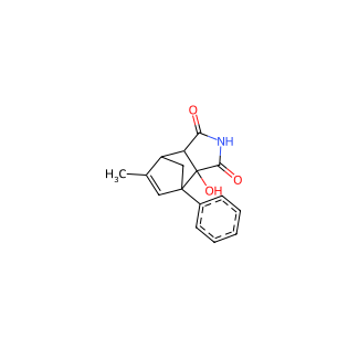 CC1=CC2(c3ccccc3)CC1C1C(=O)NC(=O)C12O